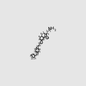 NCCCN1CCc2ccc(OCCCN3CCN(Cc4ccsc4)CC3)cc2C1=O